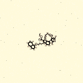 CCOC(=O)c1c(CCCOc2cccc3ccccc23)c2cccc3c2n1CCCCOc1c-3c(C)nn1C